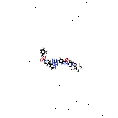 CC1CC(NC(=O)c2ccc(Nc3nc4c(C5=CCN(C(=O)OCc6ccccc6)CC5)cccn4n3)cc2)CCN1C